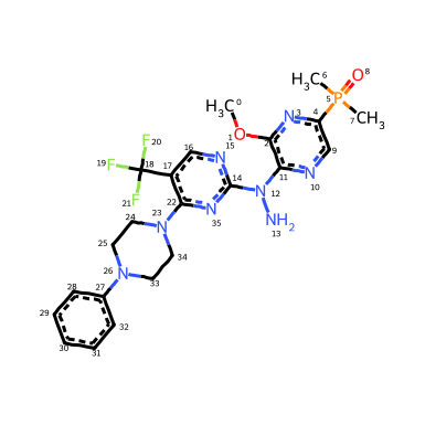 COc1nc(P(C)(C)=O)cnc1N(N)c1ncc(C(F)(F)F)c(N2CCN(c3ccccc3)CC2)n1